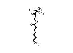 [CH2]CCCCCCC(=O)OCOC(=O)C(C)(C)C